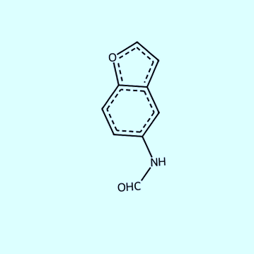 O=CNc1ccc2occc2c1